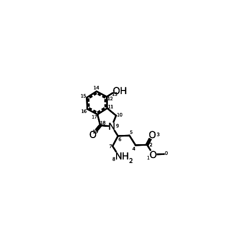 COC(=O)CCC(CN)N1Cc2c(O)cccc2C1=O